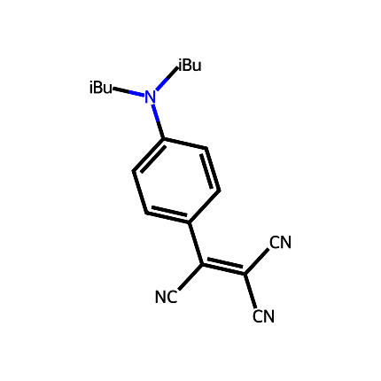 CCC(C)N(c1ccc(C(C#N)=C(C#N)C#N)cc1)C(C)CC